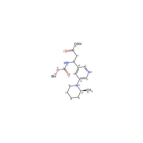 COC(=O)CC(NC(=O)OC(C)(C)C)c1cncc(N2CCCC[C@@H]2C)c1